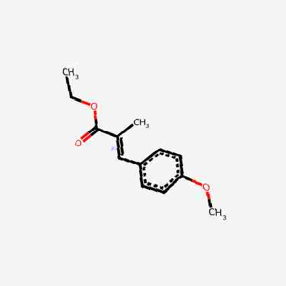 CCOC(=O)/C(C)=C/c1ccc(OC)cc1